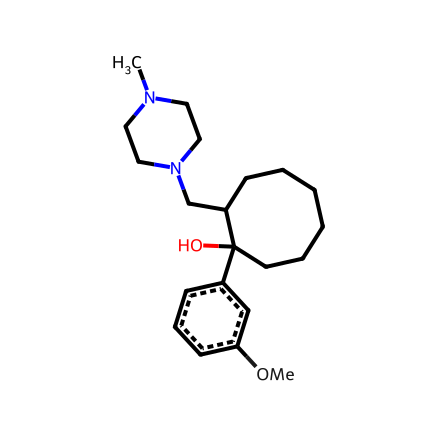 COc1cccc(C2(O)CCCCCCC2CN2CCN(C)CC2)c1